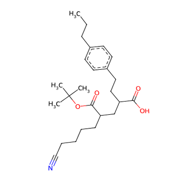 CCCc1ccc(CCC(CC(CCCCC#N)C(=O)OC(C)(C)C)C(=O)O)cc1